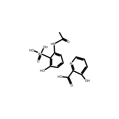 CC(=O)Nc1cccc(O)c1[As](=O)(O)O.O=C(O)c1ncccc1O